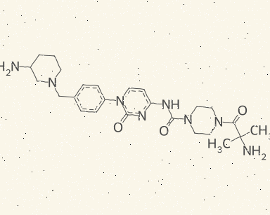 CC(C)(N)C(=O)N1CCN(C(=O)Nc2ccn(-c3ccc(CN4CCCC(N)C4)cc3)c(=O)n2)CC1